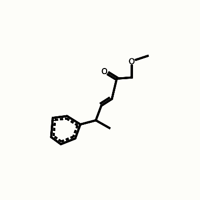 COCC(=O)/C=C/C(C)c1ccccc1